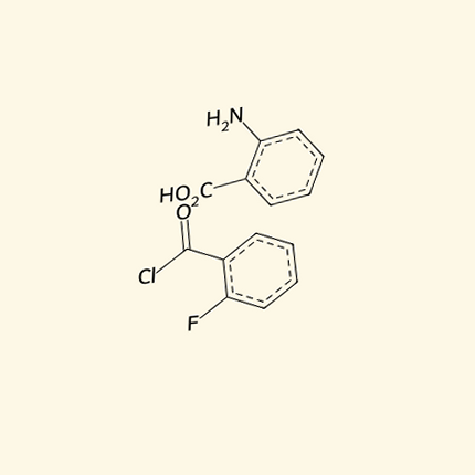 Nc1ccccc1C(=O)O.O=C(Cl)c1ccccc1F